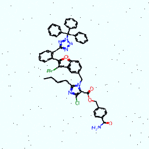 CCCCc1nc(Cl)c(C(=O)OCc2ccc(C(N)=O)cc2)n1Cc1ccc2oc(-c3ccccc3-c3nnn(C(c4ccccc4)(c4ccccc4)c4ccccc4)n3)c(Br)c2c1